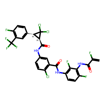 C=C(F)C(=O)Nc1c(F)ccc(NC(=O)c2cc(NC(=O)[C@H]3[C@H](c4ccc(F)c(C(F)(F)F)c4)C3(Cl)Cl)ccc2Cl)c1F